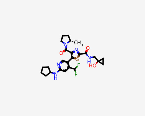 C[C@H]1CCCN1C(=O)c1nc(C(=O)NCC2(O)CC2)sc1-c1cnc(NC2CCCC2)cc1C(F)F